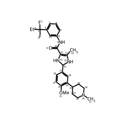 CCC(F)(F)c1cccc(NC(=O)C2=C(C)NC(c3ccc(OC)c(C4CCN(C)CC4)c3)N2)c1